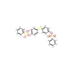 O=S(=O)(Oc1ccc(Sc2ccc(OS(=O)(=O)c3ccccc3)cc2)cc1)c1ccccc1